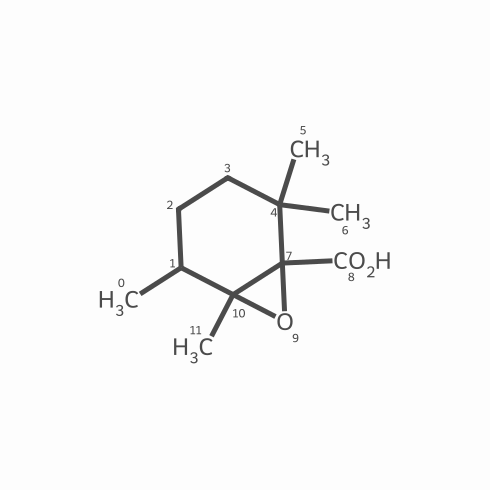 CC1CCC(C)(C)C2(C(=O)O)OC12C